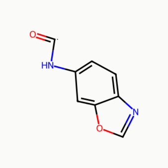 O=[C]Nc1ccc2ncoc2c1